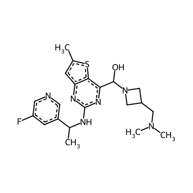 Cc1cc2nc(NC(C)c3cncc(F)c3)nc(C(O)N3CC(CN(C)C)C3)c2s1